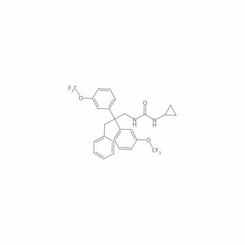 O=C(NCC(Cc1ccccc1)(c1cccc(OC(F)(F)F)c1)c1cccc(OC(F)(F)F)c1)NC1CC1